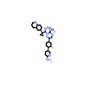 C=C1N=CC(c2ccc(-c3ccc(N)nc3)c(F)c2)=NN1/C(=N\N)C1(c2ccc3ncccc3c2)CC1